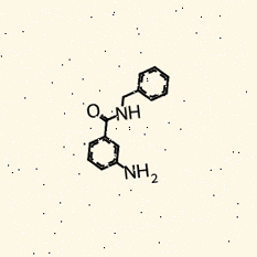 Nc1cc[c]c(C(=O)NCc2ccccc2)c1